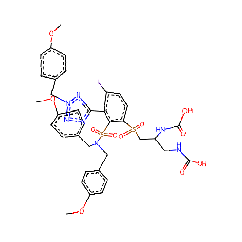 COc1ccc(CN(Cc2ccc(OC)cc2)S(=O)(=O)c2c(S(=O)(=O)CC(CNC(=O)O)NC(=O)O)ccc(I)c2-c2nnn(Cc3ccc(OC)cc3)n2)cc1